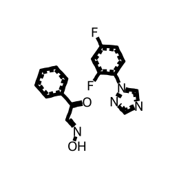 Fc1ccc(-n2cncn2)c(F)c1.O=C(C=NO)c1ccccc1